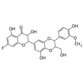 COc1cc(C2Oc3cc(C4Oc5cc(F)cc(O)c5C(=O)C4O)cc(O)c3OC2CO)ccc1O